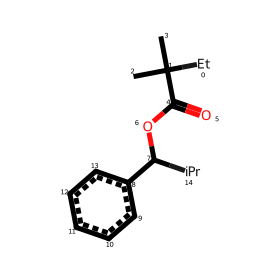 CCC(C)(C)C(=O)OC(c1ccccc1)C(C)C